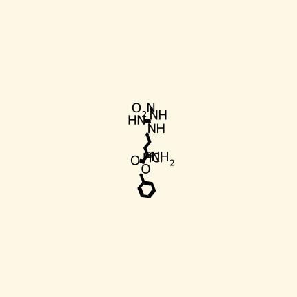 Cl.N=C(NCCC[C@H](N)C(=O)OCc1ccccc1)N[N+](=O)[O-]